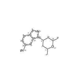 CC1CC(n2ncc3ccc(C(C)C)cc32)CC(C)O1